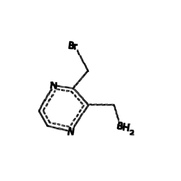 BCc1nccnc1CBr